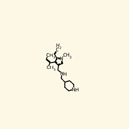 C=Cc1c(/C(C)=C\C)c(CNCC2CCNCC2)cn1C